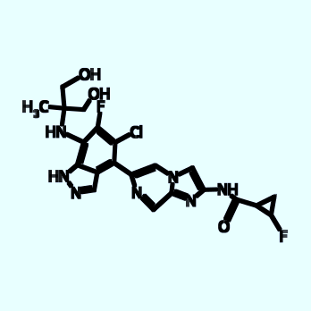 CC(CO)(CO)Nc1c(F)c(Cl)c(-c2cn3cc(NC(=O)C4CC4F)nc3cn2)c2cn[nH]c12